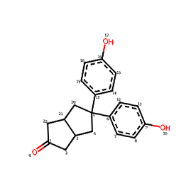 O=C1CC2CC(c3ccc(O)cc3)(c3ccc(O)cc3)CC2C1